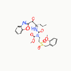 CCC[C@H](NC(=O)N(CCS(=O)(=O)Cc1ccccc1OC)C(=O)OC)C(=O)c1nc2ccccc2o1